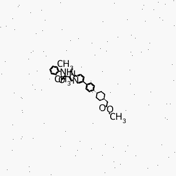 CCOC(=O)C[C@H]1CC[C@H](c2ccc(-c3ccc4nc(C(=O)Nc5c(C)cccc5C)cn4c3)cc2)CC1